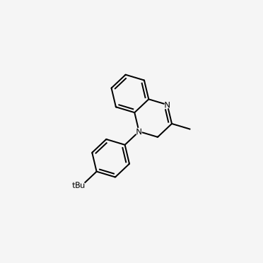 CC1=Nc2ccccc2N(c2ccc(C(C)(C)C)cc2)C1